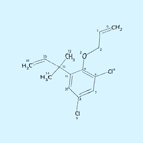 C=CCOc1c(Cl)cc(Cl)cc1C(C)(C)C=C